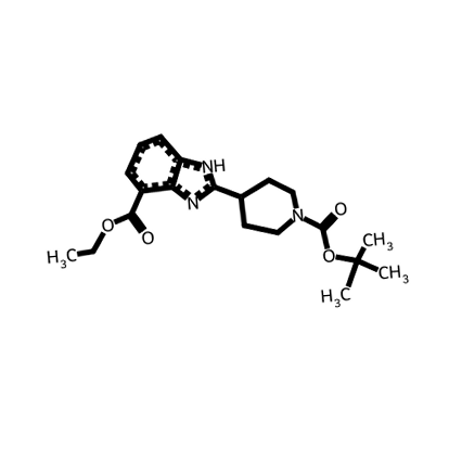 CCOC(=O)c1cccc2[nH]c(C3CCN(C(=O)OC(C)(C)C)CC3)nc12